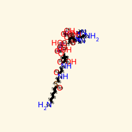 CC(C)(COP(=O)(O)OP(=O)(O)OC[C@H]1O[C@@H](n2cnc3c(N)ncnc32)[C@H](O)[C@@H]1OP(=O)(O)O)[C@@H](O)C(=O)NCCC(=O)NCCSC(=O)C=CCCCCN